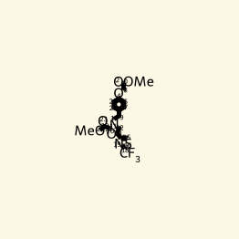 COC(=O)COc1ccc(CCN2CC(c3csc(C(F)(F)F)n3)OC2C(=O)OC)cc1